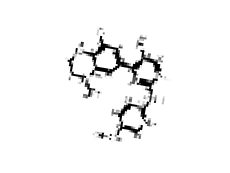 CC(C)N1CCOc2c(F)cc(-c3nc(Nc4ccc(C=O)cn4)ncc3F)cc21